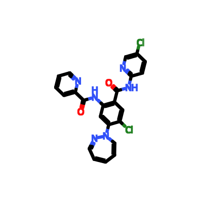 O=C(Nc1cc(N2C=CC=CC=N2)c(Cl)cc1C(=O)Nc1ccc(Cl)cn1)c1ccccn1